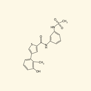 Cc1c(O)cccc1-c1csc(C(=O)Nc2cccc(NS(C)(=O)=O)c2)c1